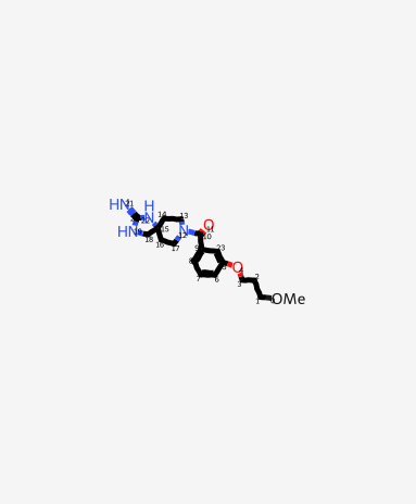 COCCCOc1cccc(C(=O)N2CCC3(CC2)CNC(=N)N3)c1